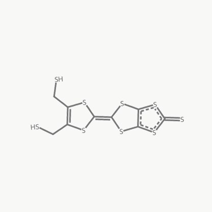 S=c1sc2c(s1)SC(=C1SC(CS)=C(CS)S1)S2